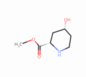 COC(=O)[C@@H]1C[C@H](O)CCN1